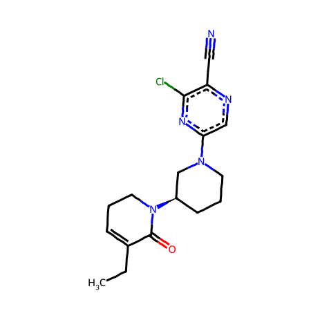 CCC1=CCCN([C@@H]2CCCN(c3cnc(C#N)c(Cl)n3)C2)C1=O